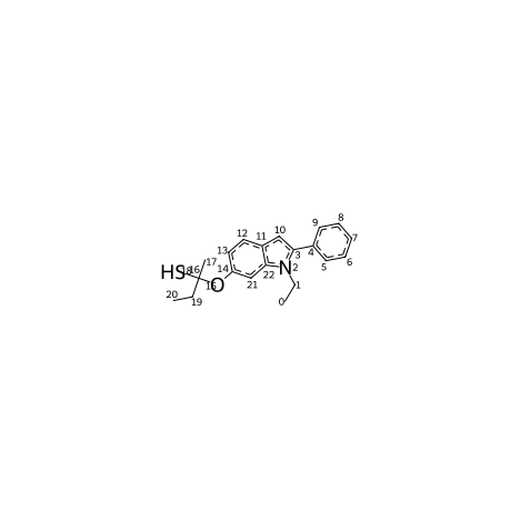 CCn1c(-c2ccccc2)cc2ccc(OC(C)(S)CC)cc21